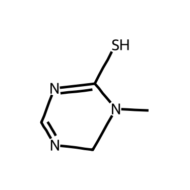 CN1CN=CN=C1S